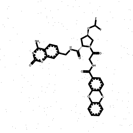 Nc1nc(=O)oc2cc(CNC(=O)[C@@H]3C[C@@H](OC(F)F)CN3C(=O)CNC(=O)c3ccc4c(c3)Oc3ccccc3S4)ccc12